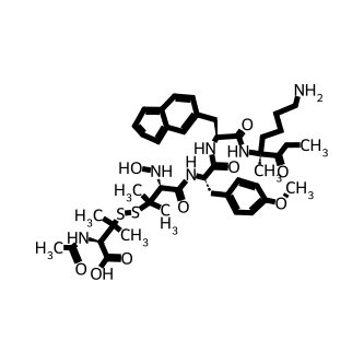 CCC(=O)[C@](C)(CCCCN)NC(=O)[C@H](Cc1ccc2ccccc2c1)NC(=O)[C@H](Cc1ccc(OC)cc1)NC(=O)[C@@H](NO)C(C)(C)SSC(C)(C)[C@H](NC(C)=O)C(=O)O